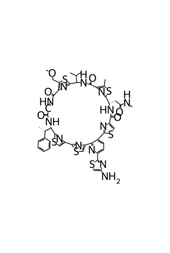 CNC(=O)C[C@@H]1NC(=O)c2csc(n2)-c2ccc(-c3nc(N)cs3)nc2-c2csc(n2)-c2csc(n2)[C@H]([C@@H](C)c2ccccc2)NC(=O)CNC(=O)c2nc(sc2COC)C(C(C)C)NC(=O)c2nc1sc2C